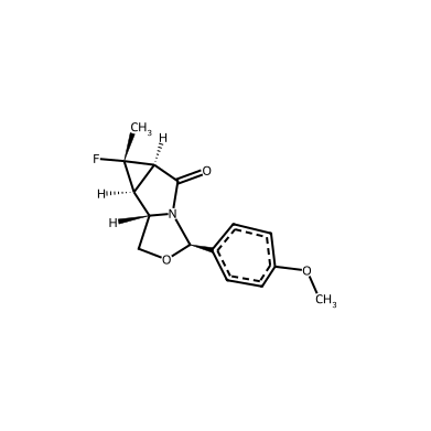 COc1ccc([C@H]2OC[C@@H]3[C@@H]4[C@H](C(=O)N23)[C@@]4(C)F)cc1